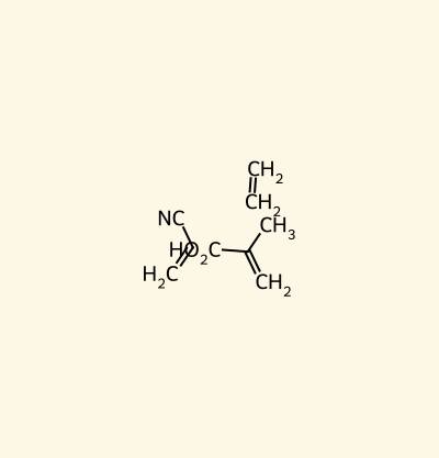 C=C.C=C(C)C(=O)O.C=CC#N